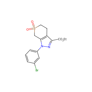 CCOC(=O)c1nn(-c2cccc(Br)c2)c2c1CCS(=O)(=O)C2